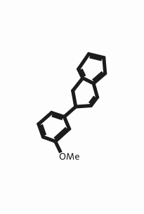 COc1cccc(C2C=Cc3ccccc3C2)c1